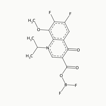 COc1c(F)c(F)cc2c(=O)c(C(=O)OB(F)F)cn(C(C)C)c12